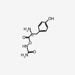 NC(=O)NOC(=O)[C@@H](N)Cc1ccc(O)cc1